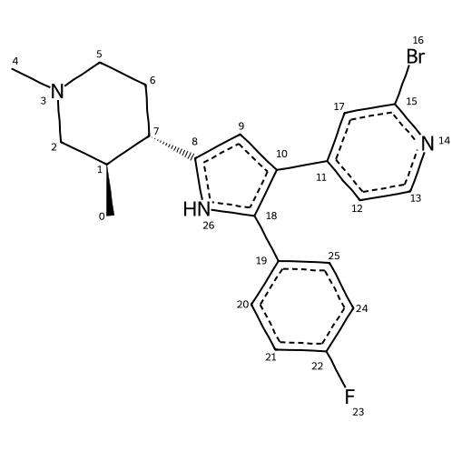 C[C@H]1CN(C)CC[C@@H]1c1cc(-c2ccnc(Br)c2)c(-c2ccc(F)cc2)[nH]1